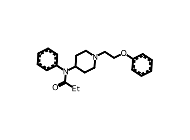 CCC(=O)N(c1ccccc1)C1CCN(CCOc2ccccc2)CC1